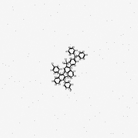 Cc1ccc(-c2c3c(c(-c4ccc(C)cc4)c4ccccc24)-c2cc4c(c5cccc-3c25)-c2ccc(N(c3ccccc3)c3ccccc3)cc2C4(C)C)cc1